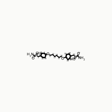 NC(=O)N(O)Cc1ccc(OCCCCCCOc2ccc(CN(O)C(N)=O)cc2)cc1